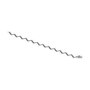 [CH]=C/C=C/C=C/C=C/C=C/C=C/C=C/C=C/C=C/C=C/C=C/C=C/CCCC